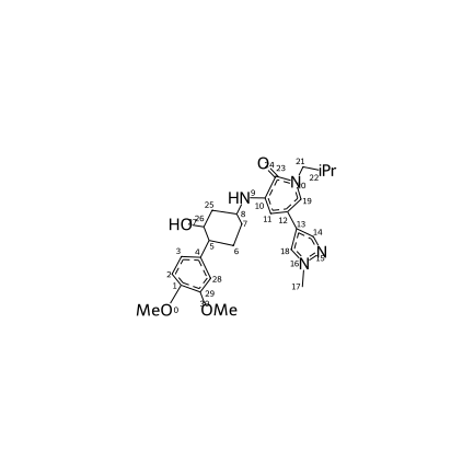 COc1ccc(C2CCC(Nc3cc(-c4cnn(C)c4)cn(CC(C)C)c3=O)CC2O)cc1OC